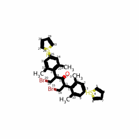 Cc1cc([SH]2C=CC=C2)cc(C)c1C(CBr)C(=O)C(CBr)c1c(C)cc([SH]2C=CC=C2)cc1C